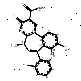 CNC(=O)c1cn2c(nc1=O)[C@H](C)N=C(c1c(F)cccc1F)c1c-2ccc(C(F)(F)F)c1Cl